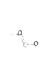 COc1cccc(CNC[C@H](O)C(CC(C)C)NC(=O)OCc2ccccc2)c1